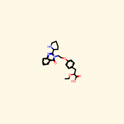 CCOC(Cc1ccc(OCCn2c(C3CCCCN3)nc3ccccc3c2=O)cc1)C(=O)O